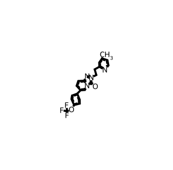 Cc1ccnc(CCn2nc3ccc(-c4ccc(OC(F)(F)F)cc4)cn3c2=O)c1